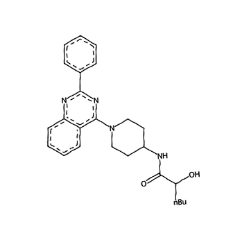 CCCCC(O)C(=O)NC1CCN(c2nc(-c3ccccc3)nc3ccccc23)CC1